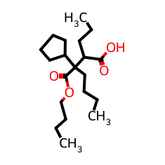 CCCCOC(=O)C(CCCC)(C1CCCC1)C(CCC)C(=O)O